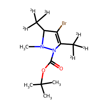 [2H]C([2H])([2H])C1=C(Br)C(C([2H])([2H])[2H])N(C)N1C(=O)OC(C)(C)C